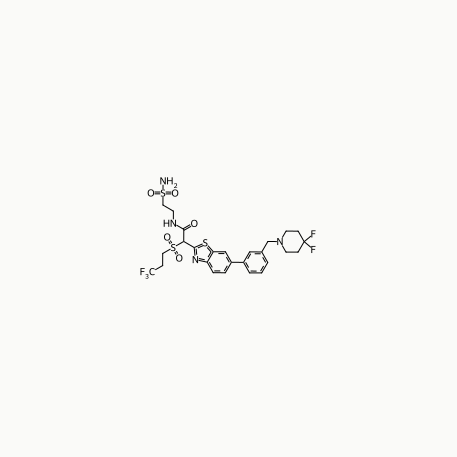 NS(=O)(=O)CCNC(=O)C(c1nc2ccc(-c3cccc(CN4CCC(F)(F)CC4)c3)cc2s1)S(=O)(=O)CCC(F)(F)F